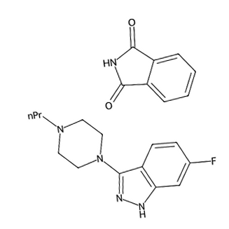 CCCN1CCN(c2n[nH]c3cc(F)ccc23)CC1.O=C1NC(=O)c2ccccc21